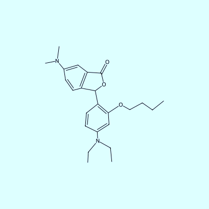 CCCCOc1cc(N(CC)CC)ccc1C1OC(=O)c2cc(N(C)C)ccc21